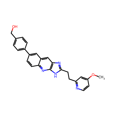 COc1ccnc(CCc2nc3cc4cc(-c5ccc(CO)cc5)ccc4nc3[nH]2)c1